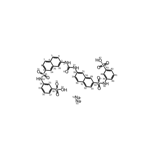 O=C(Nc1ccc2ccc(S(=O)(=O)Nc3cccc(S(=O)(=O)O)c3)cc2c1)Nc1ccc2ccc(S(=O)(=O)Nc3cccc(S(=O)(=O)O)c3)cc2c1.[Na].[Na]